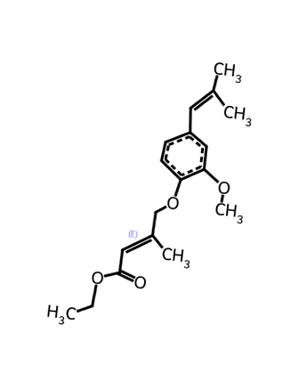 CCOC(=O)/C=C(\C)COc1ccc(C=C(C)C)cc1OC